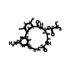 Cc1cc(C)c2cc1C(=O)N[C@@H](OC(=O)N(C)C)CCNC(=O)CCSc1cc-2nc(N)n1